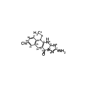 CCCc1[nH]c2nc(N)nn2c(=O)c1Cc1cccc(Cl)c1